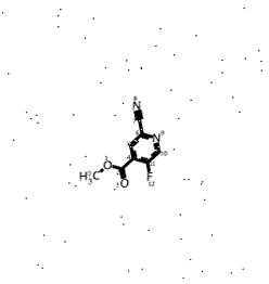 COC(=O)c1cc(C#N)ncc1F